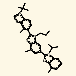 CCCn1c(-c2ccc3c(ncn3C(C)(C)C)c2C)nc2c(C)cc(-c3nc4c(C)cccc4n3C(C)C)cc21